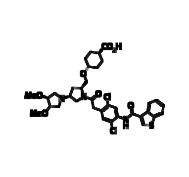 COC1CN([C@H]2C[C@@H](CO[C@H]3CC[C@H](C(=O)O)CC3)N(C(=O)Cc3cc(Cl)c(NC(=O)c4csc5ccccc45)cc3Cl)C2)C[C@@H]1OC